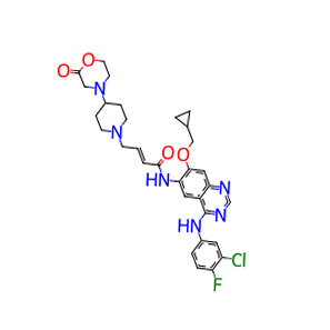 O=C(C=CCN1CCC(N2CCOC(=O)C2)CC1)Nc1cc2c(Nc3ccc(F)c(Cl)c3)ncnc2cc1OCC1CC1